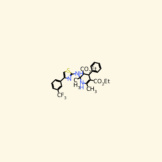 CCOC(=O)C1=C(C)NC(C)(Nc2nc(-c3cccc(C(F)(F)F)c3)cs2)C(C(=O)OCC)C1c1ccccc1